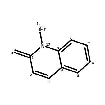 C=C1C=Cc2ccccc2N1C(C)C